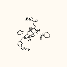 COC(=O)CCC(=O)N[C@@H](CCC(=O)N1CCCCC1)C(=O)N[C@@H](Cc1ccccc1)[C@@H](O)CNCc1cccc(OC)c1